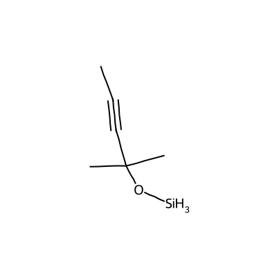 CC#CC(C)(C)O[SiH3]